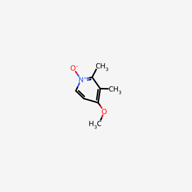 COc1cc[n+]([O-])c(C)c1C